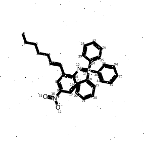 CCCCCC=Cc1cc([N+](=O)[O-])ccc1N=P(c1ccccc1)(c1ccccc1)c1ccccc1